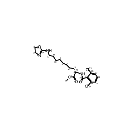 COC(=O)[C@H](CCCCCCCCNC1=NCCO1)NC(=O)c1c(Cl)cccc1Cl